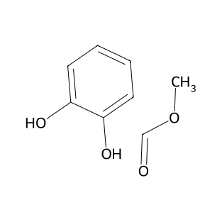 COC=O.Oc1ccccc1O